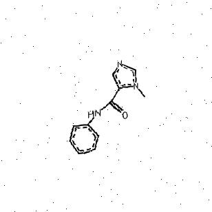 Cn1cncc1C(=O)Nc1c[c]ccc1